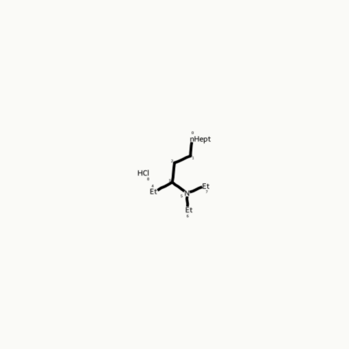 CCCCCCCCCC(CC)N(CC)CC.Cl